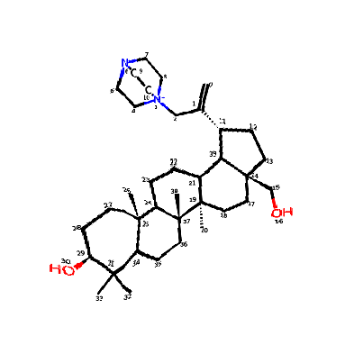 C=C(C[N+]12CCN(CC1)CC2)[C@@H]1CC[C@]2(CO)CC[C@]3(C)C(CCC4[C@@]5(C)CC[C@H](O)C(C)(C)C5CC[C@]43C)C12